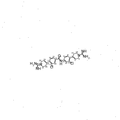 N=C(N)N1CC=C(c2ccc(NC(=O)c3ccc(C4=CCN(C(=N)N)CC4)c(Cl)c3)cc2Cl)CC1